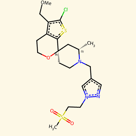 COCc1c(Cl)sc2c1CCO[C@@]21CCN(Cc2cnn(CCS(C)(=O)=O)c2)[C@@H](C)C1